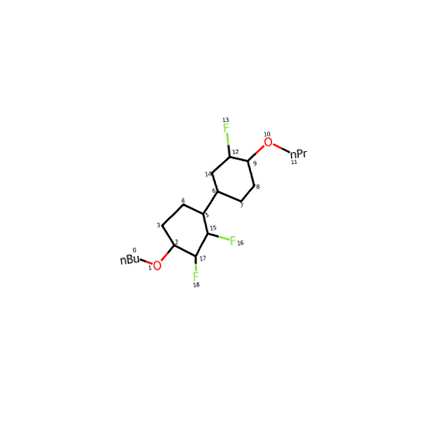 CCCCOC1CCC(C2CCC(OCCC)C(F)C2)C(F)C1F